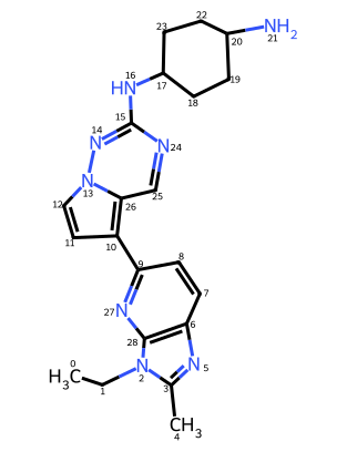 CCn1c(C)nc2ccc(-c3ccn4nc(NC5CCC(N)CC5)ncc34)nc21